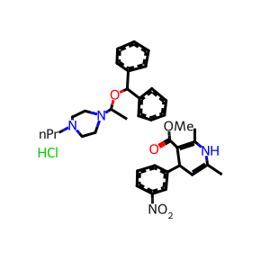 CCCN1CCN(C(C)OC(c2ccccc2)c2ccccc2)CC1.COC(=O)C1=C(C)NC(C)=CC1c1cccc([N+](=O)[O-])c1.Cl